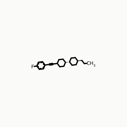 CCC[C@H]1CC[C@H](C2CCC(C#Cc3ccc(F)cc3)CC2)CC1